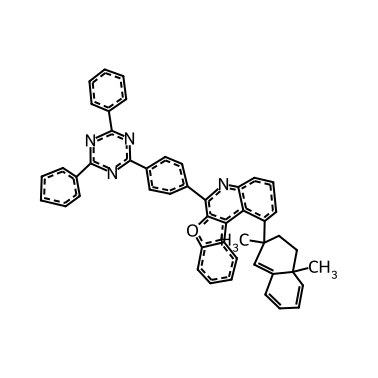 CC12C=CC=CC1=CC(C)(c1cccc3nc(-c4ccc(-c5nc(-c6ccccc6)nc(-c6ccccc6)n5)cc4)c4oc5ccccc5c4c13)CC2